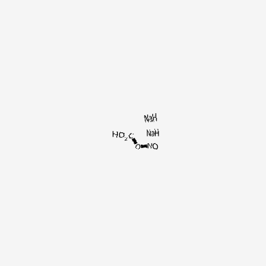 O=NOC(=O)O.[NaH].[NaH]